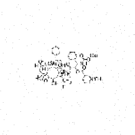 CC(=O)O[C@@]12CO[C@@H]1C[C@H](O)[C@@]1(C)C(=O)[C@H](O)C3=C(C)[C@@H](OC(=O)[C@H](OC(=O)c4ccc[n+](C)c4)[C@@H](NC(=O)OC(C)(C)C)c4ccccc4)C[C@@](O)([C@@H](OC(=O)c4ccccc4)[C@H]21)C3(C)C.[I-]